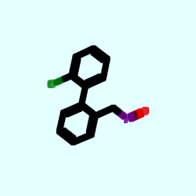 O=PCc1ccccc1-c1ccccc1Cl